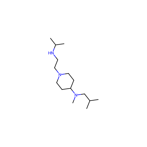 CC(C)CN(C)C1CCN(CCNC(C)C)CC1